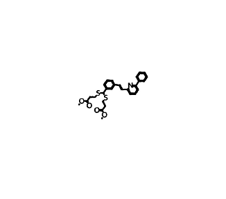 COC(=O)CCSC(SCCC(=O)OC)c1cccc(/C=C/c2cccc(-c3ccccc3)n2)c1